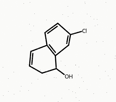 OC1CC=Cc2ccc(Cl)cc21